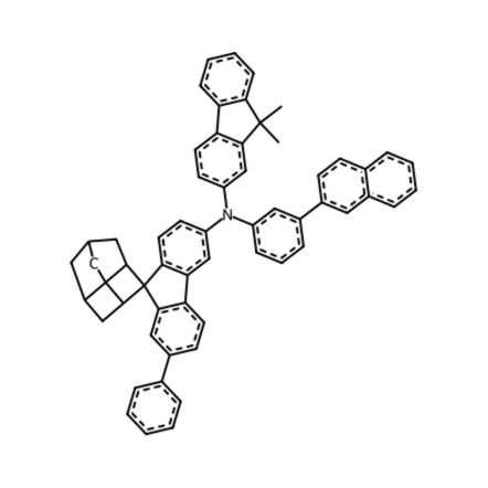 CC1(C)c2ccccc2-c2ccc(N(c3cccc(-c4ccc5ccccc5c4)c3)c3ccc4c(c3)-c3ccc(-c5ccccc5)cc3C43C4CC5CC6CC3C64C5)cc21